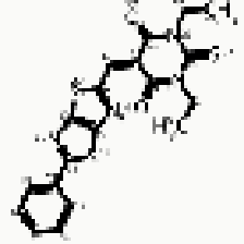 CCN1C(=O)C(=Cc2nc3sc(-c4ccccc4)nc3s2)C(=O)N(CC)C1=S